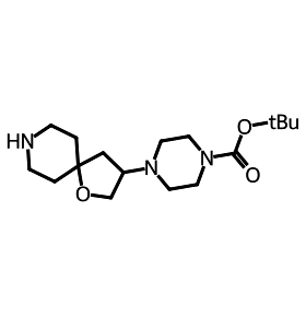 CC(C)(C)OC(=O)N1CCN(C2COC3(CCNCC3)C2)CC1